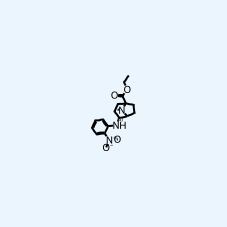 CCOC(=O)C12CCC([C@@H](Nc3ccccc3[N+](=O)[O-])CC1)N2C